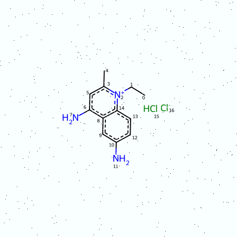 CC[n+]1c(C)cc(N)c2cc(N)ccc21.Cl.[Cl-]